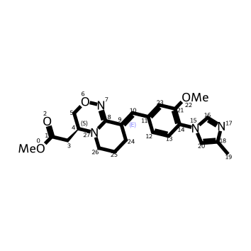 COC(=O)C[C@H]1CON=C2/C(=C/c3ccc(-n4cnc(C)c4)c(OC)c3)CCCN21